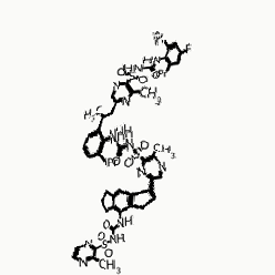 Cc1nc(CC(C)c2cccc(C(C)C)c2NC(=O)NS(=O)(=O)c2nc(C3CCc4c3cc3c(c4NC(=O)NS(=O)(=O)c4nccnc4C)CCC3)cnc2C)cnc1S(=O)(=O)NC(=O)Nc1c(C(C)C)cc(F)cc1C(C)C